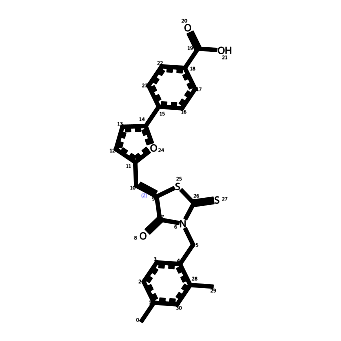 Cc1ccc(CN2C(=O)/C(=C/c3ccc(-c4ccc(C(=O)O)cc4)o3)SC2=S)c(C)c1